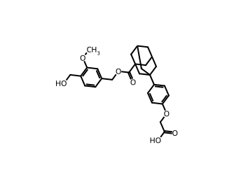 COc1cc(COC(=O)C23CC4CC(C2)CC(c2ccc(OCC(=O)O)cc2)(C4)C3)ccc1CO